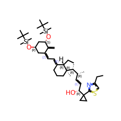 C=C1/C(=C\C=C2/CCC[C@]3(C)[C@@H]([C@H](C)/C=C/[C@@H](O)C4(c5nc(CC)cs5)CC4)CC[C@@H]23)C[C@@H](O[Si](C)(C)C(C)(C)C)C[C@@H]1O[Si](C)(C)C(C)(C)C